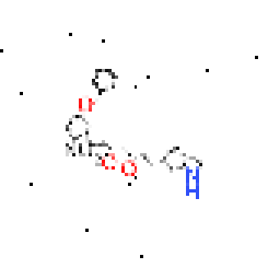 O=C(C=Cc1ccc2cc[nH]c2c1)CC(=O)C=Cc1cc(OCc2ccccc2)ccc1[N+](=O)[O-]